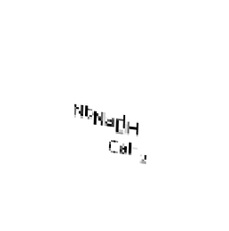 [CaH2].[LiH].[NaH].[Nb]